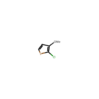 COc1[c]csc1Cl